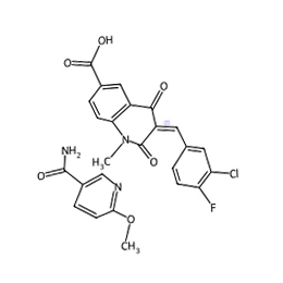 CN1C(=O)/C(=C\c2ccc(F)c(Cl)c2)C(=O)c2cc(C(=O)O)ccc21.COc1ccc(C(N)=O)cn1